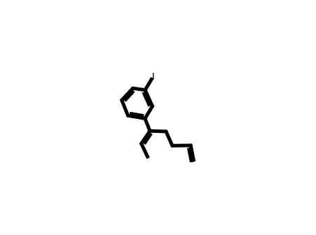 C=CCC/C(=C\C)c1cccc(I)c1